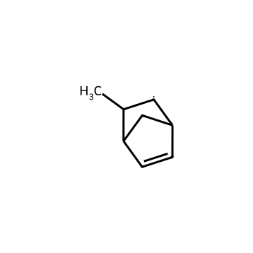 CC1[CH]C2C=CC1C2